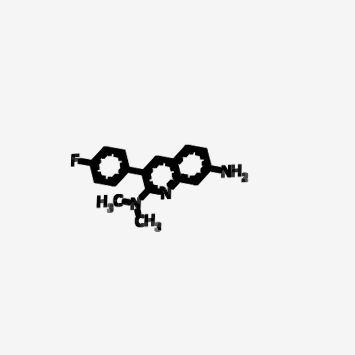 CN(C)c1nc2cc(N)ccc2cc1-c1ccc(F)cc1